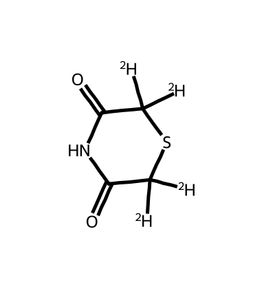 [2H]C1([2H])SC([2H])([2H])C(=O)NC1=O